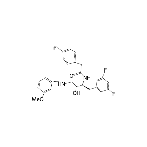 COc1cccc(CNC[C@@H](O)[C@H](Cc2cc(F)cc(F)c2)NC(=O)Cc2ccc(C(C)C)cc2)c1